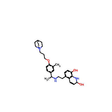 Cc1cc(C(C)NCCc2ccc(O)c3c2C=CC(O)N3)ccc1OCCC[N+]12CCC(CC1)CC2